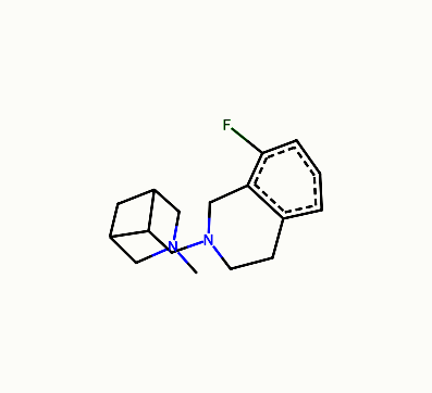 CN1CC2CC(C1)C2CN1CCc2cccc(F)c2C1